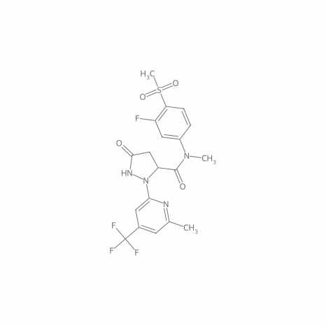 Cc1cc(C(F)(F)F)cc(N2NC(=O)CC2C(=O)N(C)c2ccc(S(C)(=O)=O)c(F)c2)n1